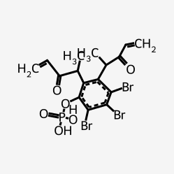 C=CC(=O)C(C)c1c(Br)c(Br)c(Br)c(OP(=O)(O)O)c1C(C)C(=O)C=C